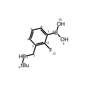 CC(C)(C)BCc1cccc(B(O)O)c1F